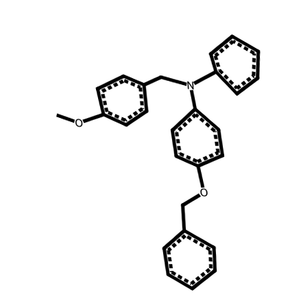 COc1ccc(CN(c2ccccc2)c2ccc(OCc3ccccc3)cc2)cc1